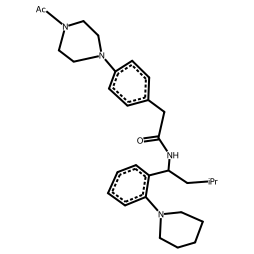 CC(=O)N1CCN(c2ccc(CC(=O)NC(CC(C)C)c3ccccc3N3CCCCC3)cc2)CC1